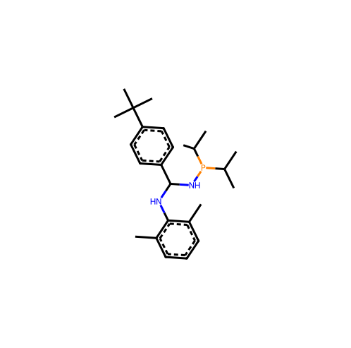 Cc1cccc(C)c1NC(NP(C(C)C)C(C)C)c1ccc(C(C)(C)C)cc1